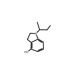 CCC(C)N1CCc2c(O)cccc21